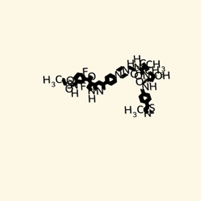 CCCS(=O)(=O)Nc1ccc(F)c(C(=O)c2c[nH]c3ncc(-c4ccc(N5CCN(CC(=O)N[C@H](C(=O)N6C[C@H](O)C[C@H]6C(=O)NCc6ccc(-c7scnc7C)cc6)C(C)(C)C)CC5)cc4)cc23)c1F